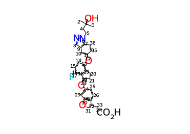 CC(C)(O)CCn1ncc2cc(Oc3ccc(F)c4c3CC[C@H]4Oc3ccc4c(c3)OCC4CC(=O)O)ccc21